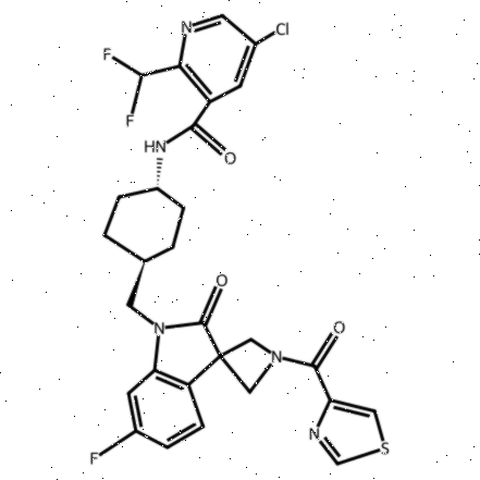 O=C(N[C@H]1CC[C@H](CN2C(=O)C3(CN(C(=O)c4cscn4)C3)c3ccc(F)cc32)CC1)c1cc(Cl)cnc1C(F)F